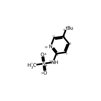 CC(C)(C)c1ccc(NS(C)(=O)=O)nc1